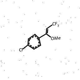 COC(=CC(F)(F)F)c1ccc(Cl)cc1